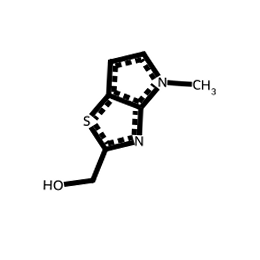 Cn1ccc2sc(CO)nc21